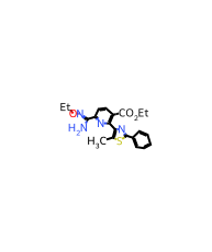 CCO/N=C(\N)c1ccc(C(=O)OCC)c(-c2nc(-c3ccccc3)sc2C)n1